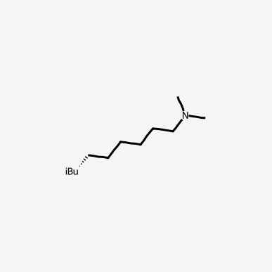 CC[C@@H](C)CCCCCCN(C)C